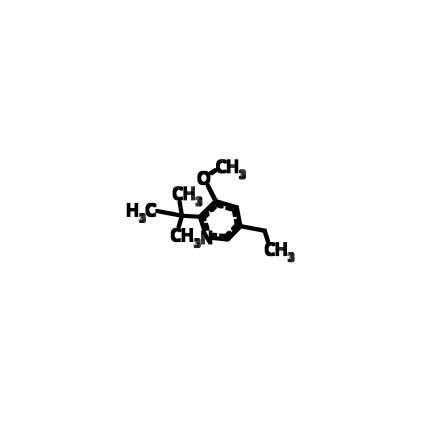 CCc1cnc(C(C)(C)C)c(OC)c1